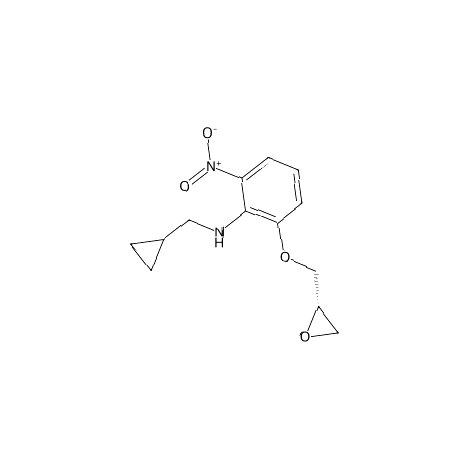 O=[N+]([O-])c1cccc(OC[C@@H]2CO2)c1NCC1CC1